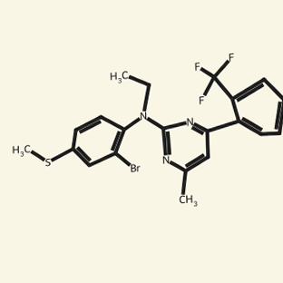 CCN(c1nc(C)cc(-c2ccccc2C(F)(F)F)n1)c1ccc(SC)cc1Br